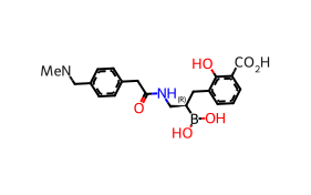 CNCc1ccc(CC(=O)NC[C@@H](Cc2cccc(C(=O)O)c2O)B(O)O)cc1